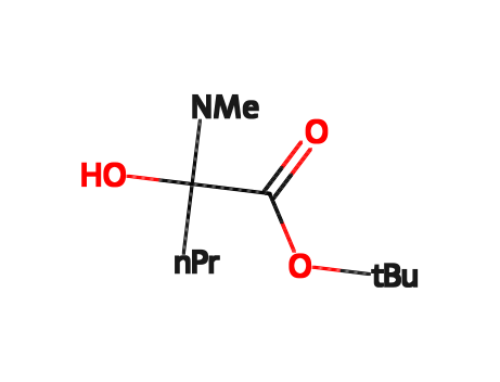 CCCC(O)(NC)C(=O)OC(C)(C)C